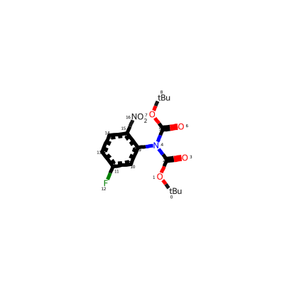 CC(C)(C)OC(=O)N(C(=O)OC(C)(C)C)c1cc(F)ccc1[N+](=O)[O-]